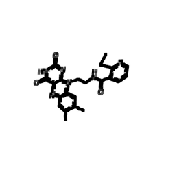 CCc1ncccc1C(=O)NCCn1c2nc(=O)[nH]c(=O)c-2nc2cc(C)c(C)cc21